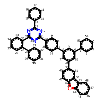 c1ccc(-c2cc(-c3ccc(-c4nc(-c5ccccc5)nc(-c5ccccc5-c5ccccc5)n4)cc3)cc(-c3ccc4oc5ccccc5c4c3)c2)cc1